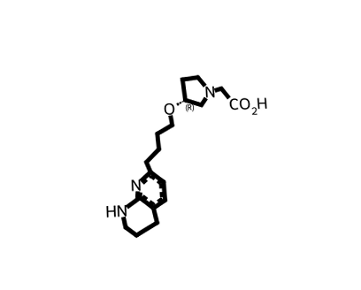 O=C(O)CN1CC[C@@H](OCCCCc2ccc3c(n2)NCCC3)C1